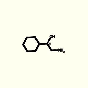 NC[C@H](O)C1CCCCC1